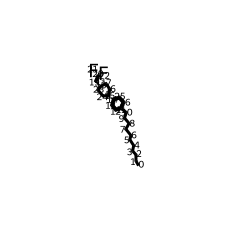 CCCCCCCCCCCc1ccc([C@H]2CC[C@H](C=C(F)F)CC2)cc1